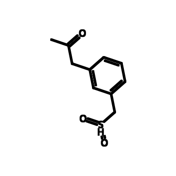 CC(=O)Cc1cccc(C[SH](=O)=O)c1